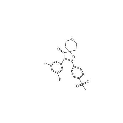 CS(=O)(=O)c1ccc(C2=C(c3cc(F)cc(F)c3)C(=O)C3(CCOCC3)O2)cc1